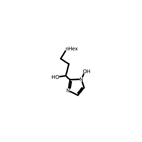 CCCCCCCCC(O)c1nccn1O